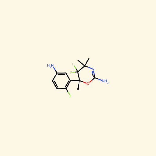 CC1(C)N=C(N)O[C@](C)(c2cc(N)ccc2F)C1(F)F